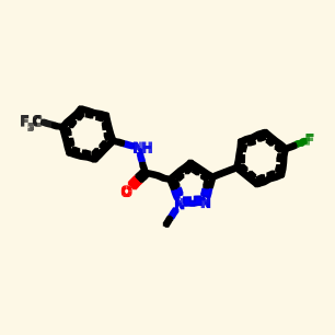 Cn1nc(-c2ccc(F)cc2)cc1C(=O)Nc1ccc(C(F)(F)F)cc1